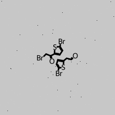 O=C(CBr)c1ccc(Br)s1.O=CCc1ccc(Br)s1